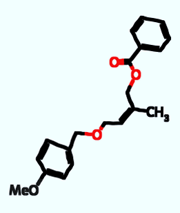 COc1ccc(COCC=C(C)COC(=O)c2ccccc2)cc1